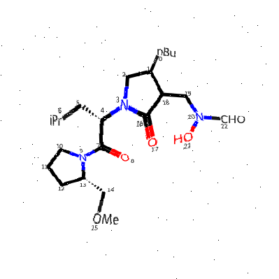 CCCCC1CN([C@@H](CC(C)C)C(=O)N2CCC[C@H]2COC)C(=O)C1CN(O)C=O